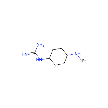 CC(C)NC1CCC(NC(=N)N)CC1